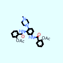 CC(=O)Oc1ccccc1C(=O)Nc1ccc(N2CCN(C)CC2)c(NC(=O)c2ccccc2OC(C)=O)c1